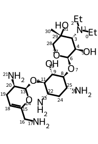 CCN(CC)[C@@H]1[C@@H](O)[C@@H](O[C@@H]2[C@@H](O)[C@H](O[C@H]3OC(CN)=CC[C@H]3N)[C@@H](N)C[C@H]2N)OC[C@]1(C)O